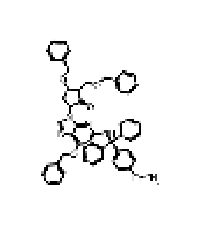 COc1ccc(C(Nc2nc(OCc3ccccc3)c3ncn(C4CC(OCc5ccccc5)C(COCc5ccccc5)C4=O)c3n2)(c2ccccc2)c2ccccc2)cc1